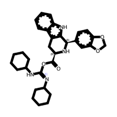 O=C(O/C(=N/C1CCCCC1)NC1CCCCC1)[C@H]1Cc2c([nH]c3ccccc23)[C@@H](c2ccc3c(c2)OCO3)N1